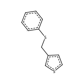 [c]1ccccc1SCc1ccsc1